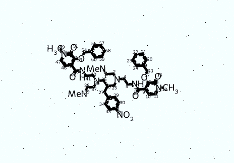 CNCCN(CCNC(=O)c1ccn(C)c(=O)c1OCc1ccccc1)CC(Cc1ccc([N+](=O)[O-])cc1)CN(CCNC)CCNC(=O)c1ccn(C)c(=O)c1OCc1ccccc1